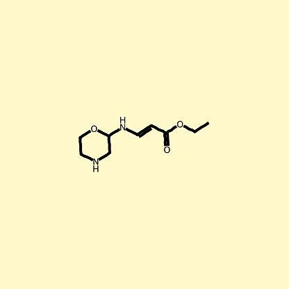 CCOC(=O)/C=C/NC1CNCCO1